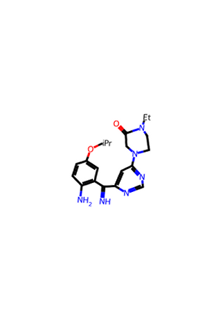 CCN1CCN(c2cc(C(=N)c3cc(OC(C)C)ccc3N)ncn2)CC1=O